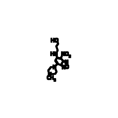 CN1CCN(c2cc(NCCCO)c([N+](=O)[O-])c3nonc23)CC1